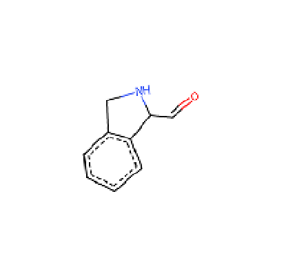 O=CC1NCc2ccccc21